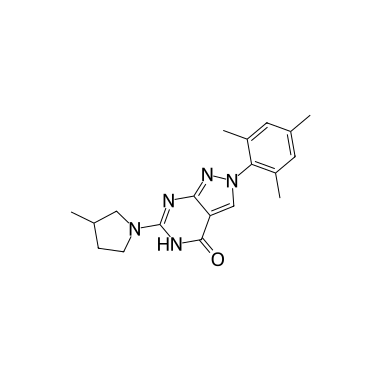 Cc1cc(C)c(-n2cc3c(=O)[nH]c(N4CCC(C)C4)nc3n2)c(C)c1